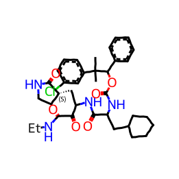 CCNC(=O)C(=O)C(C[C@@H]1CCNC1=O)NC(=O)C(CC1CCCCC1)NC(=O)OC(c1ccccc1)C(C)(C)c1cccc(Cl)c1